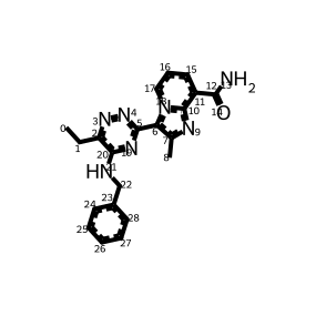 CCc1nnc(-c2c(C)nc3c(C(N)=O)cccn23)nc1NCc1ccccc1